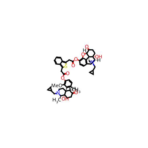 COc1c(OC(=O)Cc2sc(CC(=O)Oc3ccc4c5c3O[C@H]3C(=O)CC[C@@]6(O)[C@@H](C4)N(CC4CC4)CC[C@]536)c3ccccc23)ccc(C)c1[C@]12CCN(CC3CC3)[C@H](C)[C@]1(O)CCC(=O)[C@@H]2C